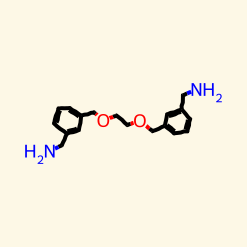 NCc1cccc(COCCOCc2cccc(CN)c2)c1